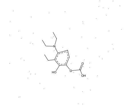 CCc1c(N(CC)CC)ccc(OC(=O)O)c1O